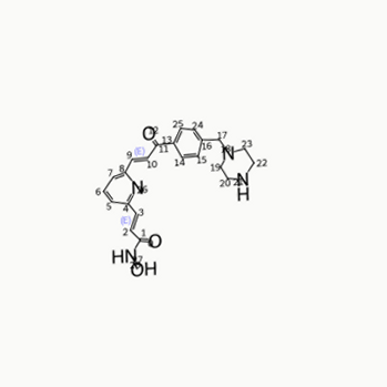 O=C(/C=C/c1cccc(/C=C/C(=O)c2ccc(CN3CCNCC3)cc2)n1)NO